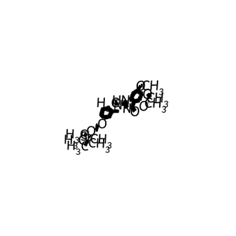 COc1cc2[nH]c(N(C)Cc3cccc(OCCO[Si](C)(C)C(C)(C)C)c3)nc(=O)c2c(OC)c1OC